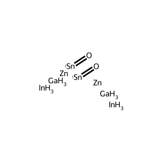 [GaH3].[GaH3].[InH3].[InH3].[O]=[Sn].[O]=[Sn].[Zn].[Zn]